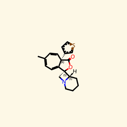 CC1=CC=C2[C@@](c3ccsc3)(C=C1)C(=O)O[C@]21CN2CCCC[C@H]21